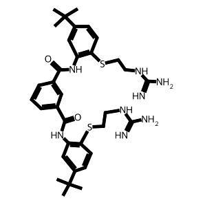 CC(C)(C)c1ccc(SCCNC(=N)N)c(NC(=O)c2cccc(C(=O)Nc3cc(C(C)(C)C)ccc3SCCNC(=N)N)c2)c1